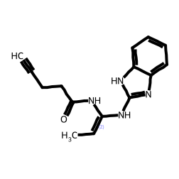 C#CCCC(=O)N/C(=C\C)Nc1nc2ccccc2[nH]1